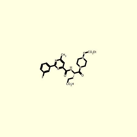 CCOC(=O)ON1CCN(C(=O)[C@H](CCC(=O)O)NC(=O)c2cc(C)nc(-c3cccc(F)c3)n2)CC1